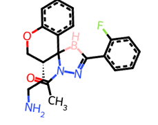 CC(=O)N1N=C(c2ccccc2F)BC12c1ccccc1OC[C@H]2CCN